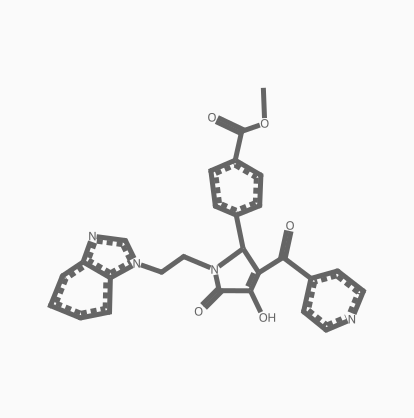 COC(=O)c1ccc(C2C(C(=O)c3ccncc3)=C(O)C(=O)N2CCn2cnc3ccccc32)cc1